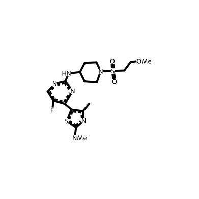 CNc1nc(C)c(-c2nc(NC3CCN(S(=O)(=O)CCOC)CC3)ncc2F)s1